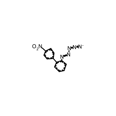 [N-]=[N+]=N/N=N/c1ccccc1-c1ccc([N+](=O)[O-])cc1